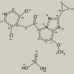 COc1ccc(C(=O)Cc2c(Cl)cncc2Cl)n2nc(C3CC3)nc12.O=C(O)O